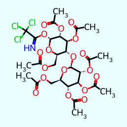 CC(=O)OC[C@H]1O[C@@H](O[C@H]2[C@H](OC(C)=O)[C@@H](OC(C)=O)[C@@H](OC(=N)C(Cl)(Cl)Cl)O[C@@H]2COC(C)=O)[C@H](OC(C)=O)[C@@H](OC(C)=O)[C@@H]1OC(C)=O